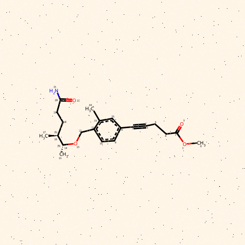 COC(=O)CCC#Cc1ccc(CO[C@H](C)[C@@H](C)CCC(N)=O)c(C)c1